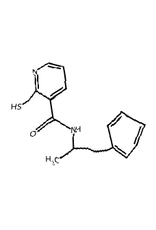 CC(Cc1ccccc1)NC(=O)c1cccnc1S